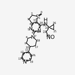 C=S1CCc2nc(N3CCC(c4ccncc4)CC3)nc(NC3(CN=O)CC3)c21